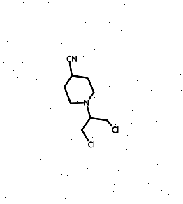 N#CC1CCN(C(CCl)CCl)CC1